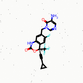 Nc1cncn(Cc2cc3c(cc2F)[C@](C#CC2CC2)(C(F)(F)F)OC(=O)N3)c1=O